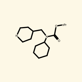 CCCOC(=O)N(CC1CC[N]CC1)C1CCCCC1